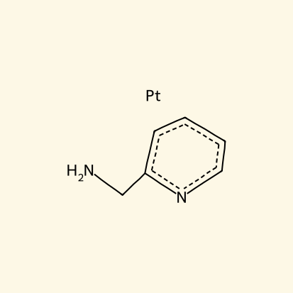 NCc1ccccn1.[Pt]